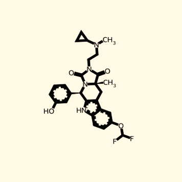 CN(CCN1C(=O)N2[C@H](c3cccc(O)c3)c3[nH]c4ccc(OC(F)F)cc4c3C[C@@]2(C)C1=O)C1CC1